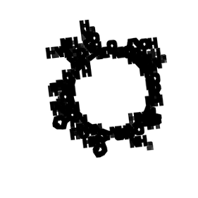 CCCC[C@H]1C(=O)N(C)[C@@H](CCCC)C(=O)N[C@@H](CCCNC(=N)N)C(=O)N[C@H](C(=O)NCC(N)=O)CSCC(=O)N[C@@H](Cc2ccc(O)cc2)C(=O)N(C)[C@@H](C)C(=O)N[C@@H](CC(N)=O)C(=O)N2CCC[C@H]2C(=O)N[C@@H](Cc2ccc[nH]2)C(=O)N[C@@H](CC(C)C)C(=O)N2C[C@@H](N)C[C@H]2C(=O)N[C@@H](Cc2c[nH]c3ccccc23)C(=O)N[C@@H](CO)C(=N)N[C@@H](Cc2csc3ccccc23)C(=O)N1C